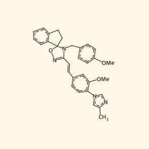 COc1ccc(CN2C(/C=C/c3ccc(-n4cnc(C)c4)c(OC)c3)=NOC23CCc2ccccc23)cc1